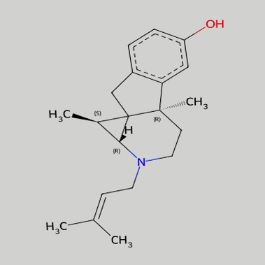 CC(C)=CCN1CC[C@]2(C)c3cc(O)ccc3CC23[C@H](C)[C@@H]13